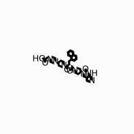 O=C(O)CN1CCN(C2CCN(C(=O)[C@@H](CC(=O)N3CCC(N4Cc5ccncc5NC4=O)CC3)Cc3cccc4ccccc34)CC2)CC1